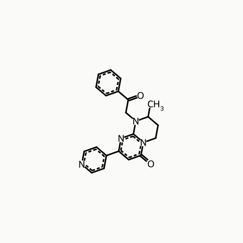 CC1CCn2c(nc(-c3ccncc3)cc2=O)N1CC(=O)c1ccccc1